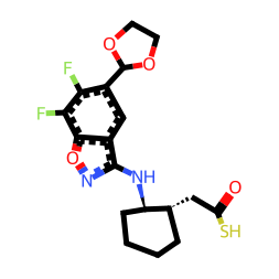 O=C(S)C[C@@H]1CCCC[C@H]1Nc1noc2c(F)c(F)c(C3OCCO3)cc12